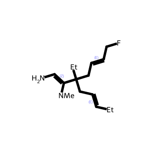 CC/C=C/CC(CC)(C/C=C/CF)/C(=C/N)NC